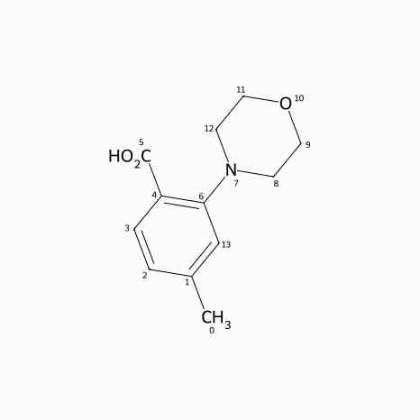 Cc1ccc(C(=O)O)c(N2CCOCC2)c1